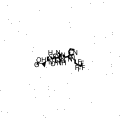 CC1(c2nc([C@@H]3C[C@H]3C(=O)O)cs2)C(=O)Nc2nc(-c3nn(CCC(F)(F)C(F)(F)F)c4ncccc34)nc(N)c21